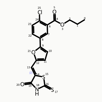 CCCOC(=O)c1cc(-c2ccc(/C=C3\SC(=S)NC3=O)o2)ccc1Cl